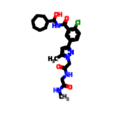 CNC(=O)CNC(=O)Cn1nc(-c2ccc(Cl)c(C(=O)NC(O)C3CCCCCC3)c2)cc1C